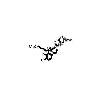 CNC[C@H](CC(C)(C)C)NC(=O)N1CCC[C@@H]([C@@](O)(CCCCOC)c2cccc(Cl)c2F)C1